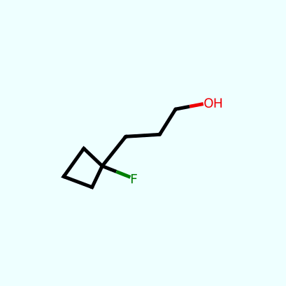 OCCCC1(F)CCC1